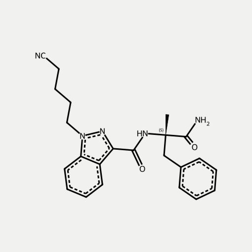 C[C@@](Cc1ccccc1)(NC(=O)c1nn(CCCCC#N)c2ccccc12)C(N)=O